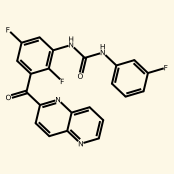 O=C(Nc1cccc(F)c1)Nc1cc(F)cc(C(=O)c2ccc3ncccc3n2)c1F